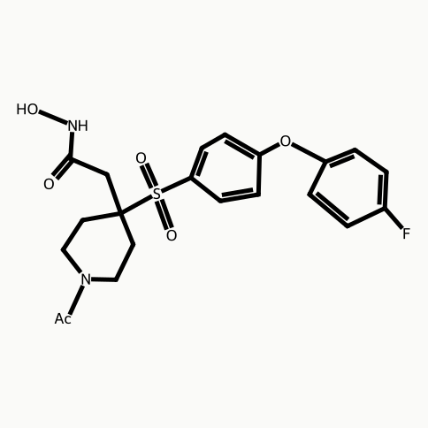 CC(=O)N1CCC(CC(=O)NO)(S(=O)(=O)c2ccc(Oc3ccc(F)cc3)cc2)CC1